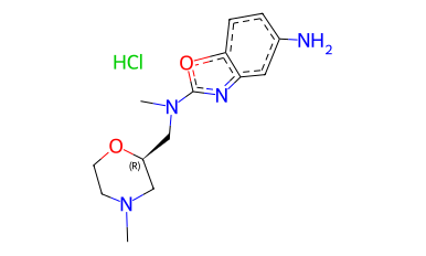 CN1CCO[C@@H](CN(C)c2nc3cc(N)ccc3o2)C1.Cl